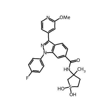 COc1cc(-c2nn(-c3ccc(F)cc3)c3cc(C(=O)NC4(C)CCS(O)(O)C4)ccc23)ccn1